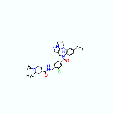 Cc1ccc2c(c1)Nc1c(cnn1C)CN2C(=O)c1ccc(CNC(=O)C2CCN(C3CC3)C(C)C2)c(Cl)c1